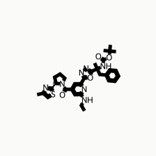 CCNc1cc(C(=O)N2CCC[C@@H]2c2nc(C)cs2)cc(-c2nnc(C(C)(Cc3ccccc3)NC(=O)OC(C)(C)C)o2)n1